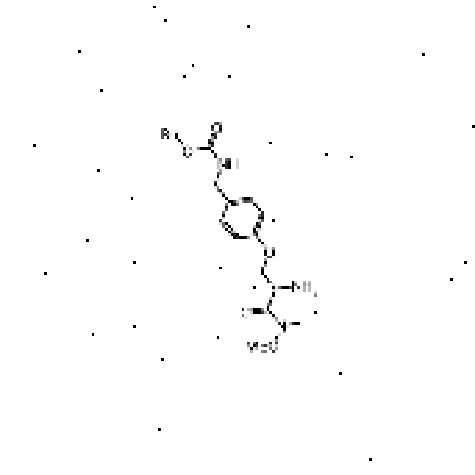 CON(C)C(=O)C(N)COc1ccc(CNC(=O)OC(C)(C)C)cc1